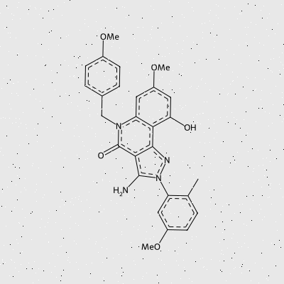 COc1ccc(Cn2c(=O)c3c(N)n(-c4cc(OC)ccc4C)nc3c3c(O)cc(OC)cc32)cc1